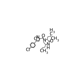 CCCC1CN(C(=O)c2cc(-c3ccc(Cl)cc3)on2)C(CC(C)C)C(=O)N1